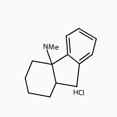 CNC12CCCCC1Cc1ccccc12.Cl